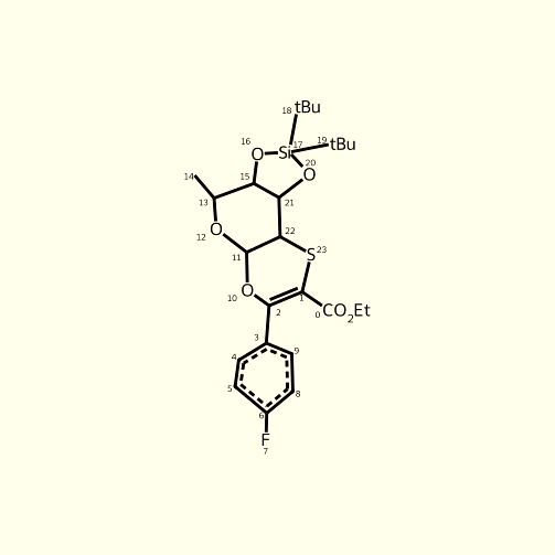 CCOC(=O)C1=C(c2ccc(F)cc2)OC2OC(C)C3O[Si](C(C)(C)C)(C(C)(C)C)OC3C2S1